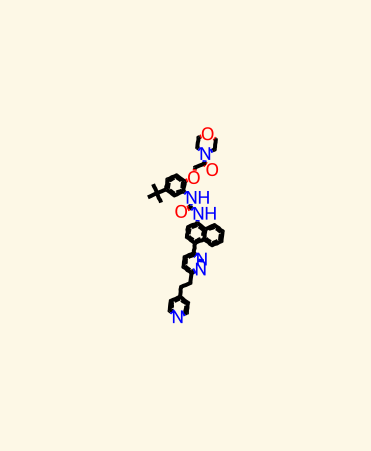 CC(C)(C)c1ccc(OCC(=O)N2CCOCC2)c(NC(=O)Nc2ccc(-c3ccc(CCc4ccncc4)nn3)c3ccccc23)c1